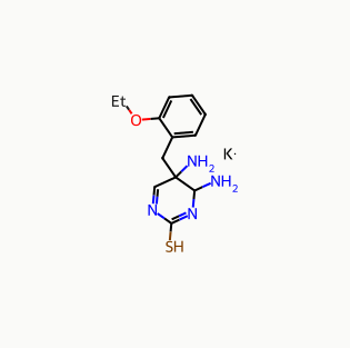 CCOc1ccccc1CC1(N)C=NC(S)=NC1N.[K]